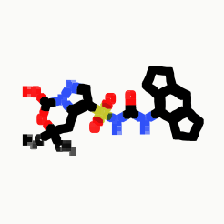 CC1(C)Cc2c(S(=O)(=O)NC(=O)Nc3c4c(cc5c3CCC5)CCC4)cnn2C(O)O1